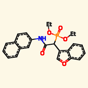 CCOP(=O)(OCC)C(C(=O)Nc1ccc2ccccc2c1)c1coc2ccccc12